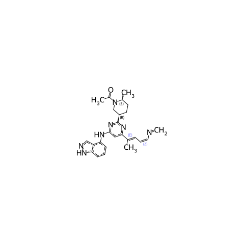 C=N/C=C\C=C(/C)c1cc(Nc2cccc3[nH]ncc23)nc([C@@H]2CC[C@H](C)N(C(C)=O)C2)n1